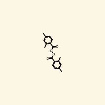 Cc1ccc(C(=O)OOC(=O)c2ccc(C)cc2C)c(C)c1